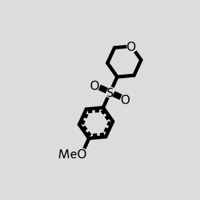 COc1ccc(S(=O)(=O)C2CCOCC2)cc1